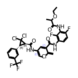 C=C(Cl)/C(=C\C(=C/C)NC(=O)[C@H]1[C@H](c2cccc(C(F)(F)F)c2)C1(Cl)Cl)C(=O)Nc1ccc(F)c(NC(=O)C(C)OCC)c1F